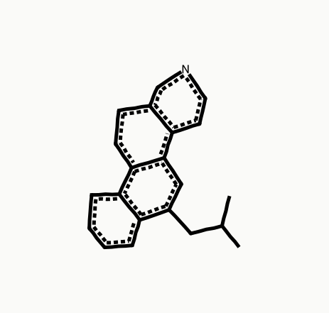 CC(C)Cc1cc2c3ccncc3ccc2c2ccccc12